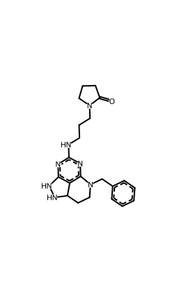 O=C1CCCN1CCCNc1nc2c3c(n1)N(Cc1ccccc1)CCC3NN2